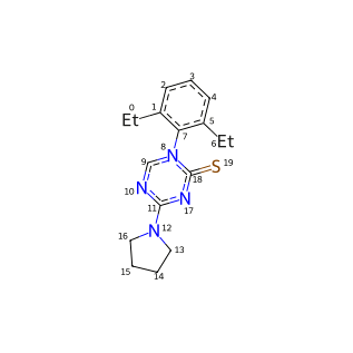 CCc1cccc(CC)c1-n1cnc(N2CCCC2)nc1=S